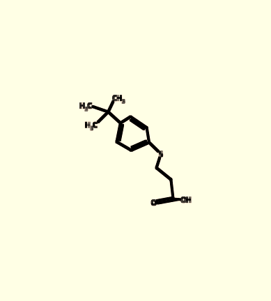 CC(C)(C)c1ccc(SCCC(=O)O)cc1